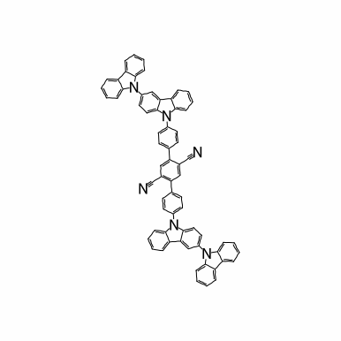 N#Cc1cc(-c2ccc(-n3c4ccccc4c4cc(-n5c6ccccc6c6ccccc65)ccc43)cc2)c(C#N)cc1-c1ccc(-n2c3ccccc3c3cc(-n4c5ccccc5c5ccccc54)ccc32)cc1